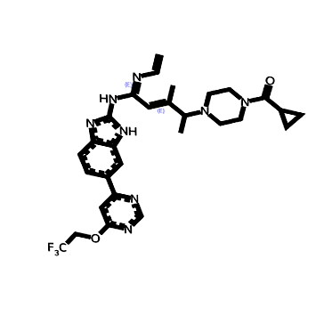 C=C/N=C(\C=C(/C)C(C)N1CCN(C(=O)C2CC2)CC1)Nc1nc2ccc(-c3cc(OCC(F)(F)F)ncn3)cc2[nH]1